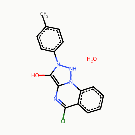 O.OC1=C2N=C(Cl)c3ccccc3N2NN1c1ccc(C(F)(F)F)cc1